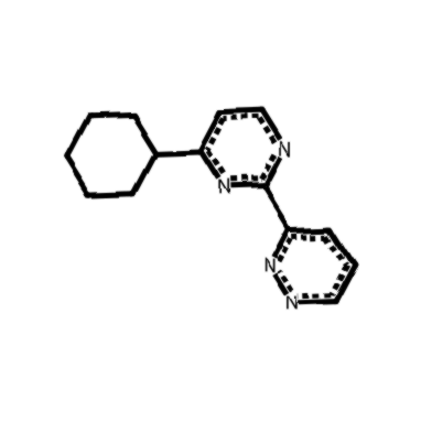 c1cnnc(-c2nccc(C3CCCCC3)n2)c1